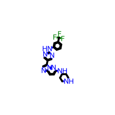 FC(F)(F)c1cccc(Nc2ncc(-c3cnc4ccc(NC5CCNCC5)nn34)cn2)c1